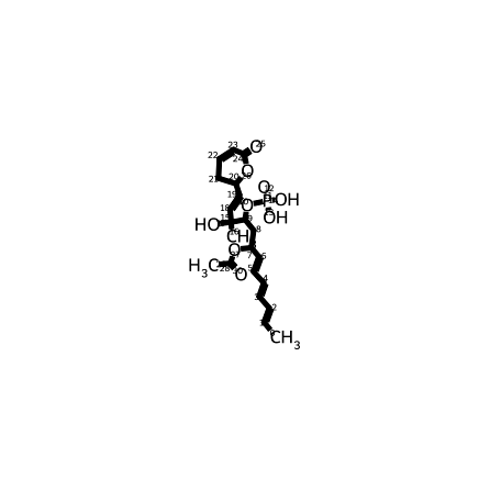 C/C=C/C=C/C=C/C(CC(OP(=O)(O)O)C(C)(O)/C=C/C1CC=CC(=O)O1)OC(C)=O